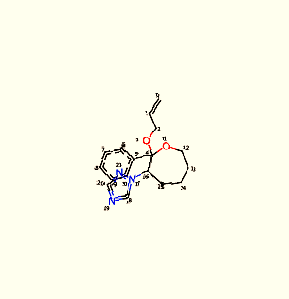 C=CCOC1(c2ccccc2)OCCCCC1n1cncn1